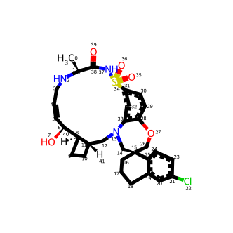 C[C@@H]1NCC=C[C@H](O)[C@@H]2CC[C@H]2CN2C[C@@]3(CCCc4cc(Cl)ccc43)COc3ccc(cc32)S(=O)(=O)NC1=O